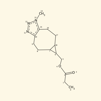 CCC(=O)OCC1C2CCc3nnn(C)c3CCC21